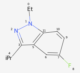 CCn1nc(C(C)C)c2cc(F)ccc21